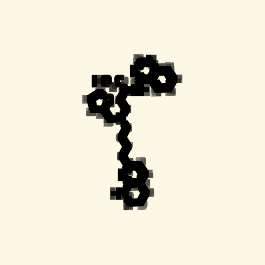 O=C(O)C(CCN(CCCCc1ccc2c(n1)NCCC2)CC1CCCO1)Nc1ncnc2ccccc12